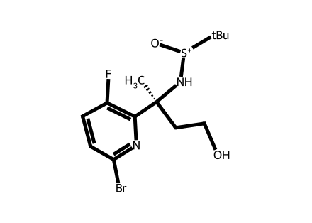 CC(C)(C)[S+]([O-])N[C@@](C)(CCO)c1nc(Br)ccc1F